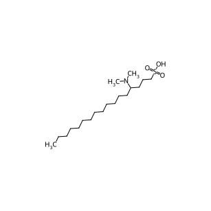 CCCCCCCCCCCCCC(CCCS(=O)(=O)O)N(C)C